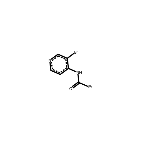 CC(C)C(=O)Nc1ccncc1Br